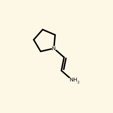 NC=CN1CCCC1